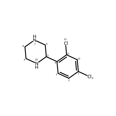 Clc1ccc(C2CNCCN2)c(Cl)c1